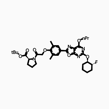 CCCOc1nc(O[C@@H]2CCCC[C@H]2F)nc2oc(-c3cc(C)c(OCC(=O)N4CCC[C@H]4C(=O)OC(C)(C)C)c(C)c3)nc12